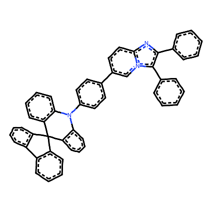 c1ccc(-c2nc3ccc(-c4ccc(N5c6ccccc6C6(c7ccccc7-c7ccccc76)c6ccccc65)cc4)cn3c2-c2ccccc2)cc1